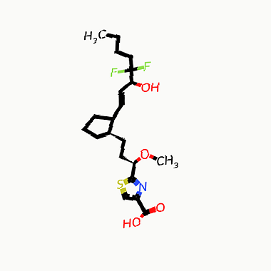 CCCCC(F)(F)C(O)/C=C/C1CCC[C@@H]1CC[C@@H](OC)c1nc(C(=O)O)cs1